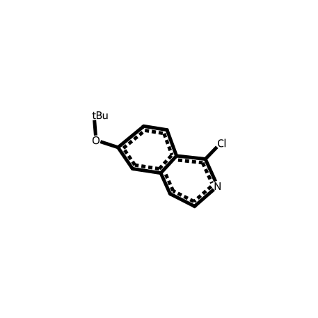 CC(C)(C)Oc1ccc2c(Cl)nccc2c1